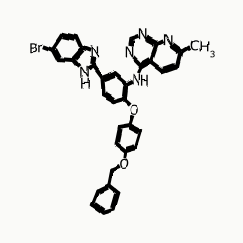 Cc1ccc2c(Nc3cc(-c4nc5ccc(Br)cc5[nH]4)ccc3Oc3ccc(OCc4ccccc4)cc3)ncnc2n1